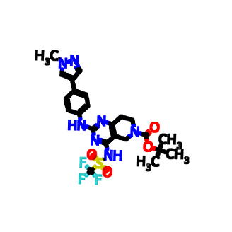 Cn1cc(-c2ccc(Nc3nc4c(c(NS(=O)(=O)C(F)(F)F)n3)CN(C(=O)OC(C)(C)C)CC4)cc2)cn1